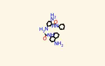 CC(=O)Nc1ccc(N)c2ccccc12.Nc1ccc(N)c(C(=O)Nc2ccccc2)c1